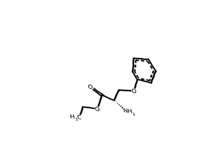 CCOC(=O)[C@@H](N)COc1ccccc1